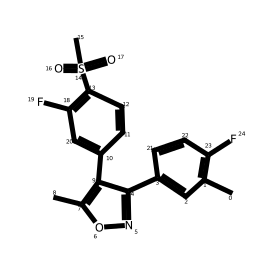 Cc1cc(-c2noc(C)c2-c2ccc(S(C)(=O)=O)c(F)c2)ccc1F